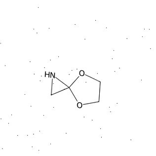 C1COC2(CN2)O1